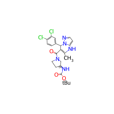 CC1=C(C(=O)N2CC[C@H](NC(=O)OC(C)(C)C)C2)C(c2ccc(Cl)c(Cl)c2)n2nccc2N1